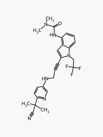 CN(C)C(=O)Nc1cccc2c1cc(C#CCNc1ccc(C(C)(C)C#N)nc1)n2CC(F)(F)F